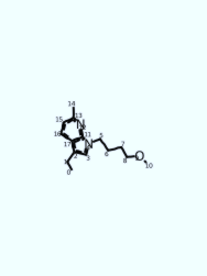 CCc1cn(CCCCOC)c2nc(C)ccc12